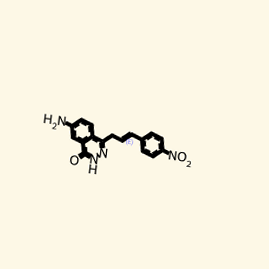 Nc1ccc2c(C/C=C/c3ccc([N+](=O)[O-])cc3)n[nH]c(=O)c2c1